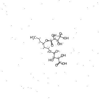 CCCC(CCOC(=O)C(O)C(O)C(=O)O)OC(=O)C(O)C(O)C(=O)O